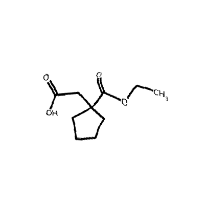 CCOC(=O)C1(CC(=O)O)CCCC1